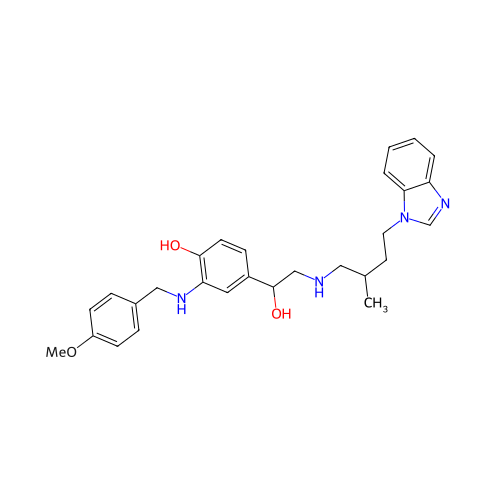 COc1ccc(CNc2cc(C(O)CNCC(C)CCn3cnc4ccccc43)ccc2O)cc1